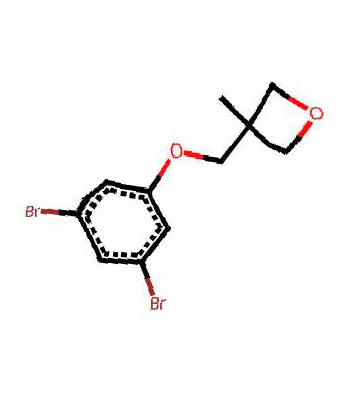 CC1(COc2cc(Br)cc(Br)c2)COC1